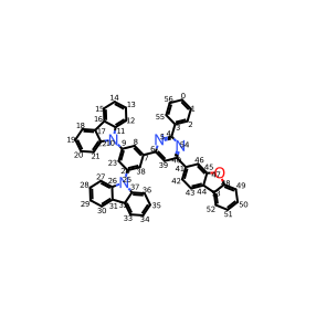 c1ccc(-c2nc(-c3cc(-n4c5ccccc5c5ccccc54)cc(-n4c5ccccc5c5ccccc54)c3)cc(-c3ccc4c(c3)oc3ccccc34)n2)cc1